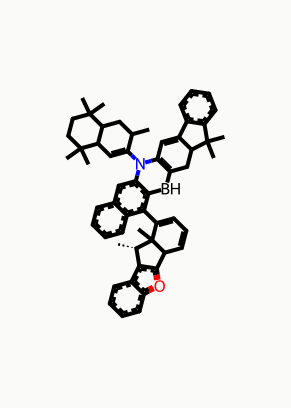 CC1CC2C(C=C1N1C3=C(Bc4c1cc1ccccc1c4C1=CC=CC4c5oc6ccccc6c5[C@H](C)C14C)CC1C(=C3)c3ccccc3C1(C)C)C(C)(C)CCC2(C)C